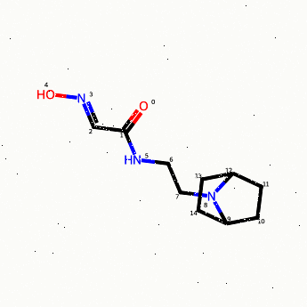 O=C(C=NO)NCCN1C2CCC1CC2